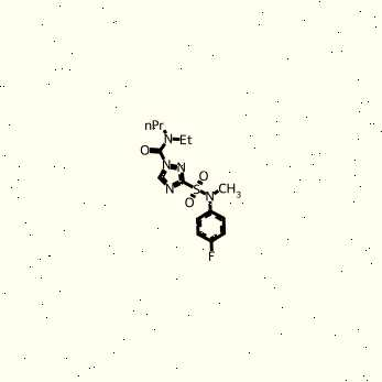 CCCN(CC)C(=O)n1cnc(S(=O)(=O)N(C)c2ccc(F)cc2)n1